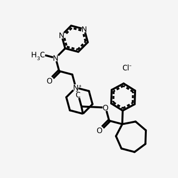 CN(C(=O)C[N+]12CCC(CC1)C(OC(=O)C1(c3ccccc3)CCCCCC1)C2)c1ccncn1.[Cl-]